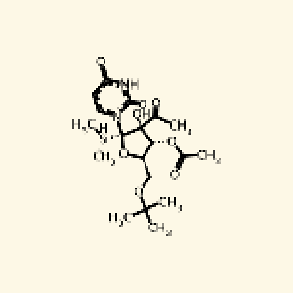 CC(=O)O[C@@H]1[C@@H](COC(C)(C)C)O[C@](n2ccc(=O)[nH]c2=O)([SiH](C)C)[C@@]1(O)C(C)=O